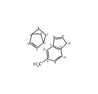 C1=CC2CCC1C2.Cc1ccc2c(c1)C=CC2